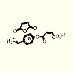 C=Cc1ccccc1.COC(=O)/C=C\C(=O)O.O=C1C=CC(=O)O1